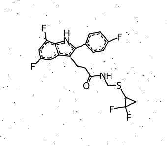 O=C(CCc1c(-c2ccc(F)cc2)[nH]c2c(F)cc(F)cc12)NCSC1CC1(F)F